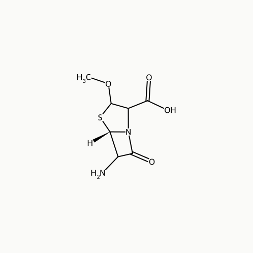 COC1S[C@H]2C(N)C(=O)N2C1C(=O)O